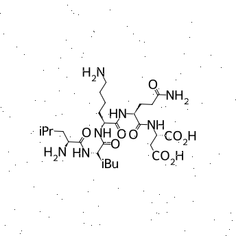 CC[C@H](C)[C@H](NC(=O)[C@@H](N)CC(C)C)C(=O)N[C@@H](CCCCN)C(=O)N[C@@H](CCC(N)=O)C(=O)N[C@@H](CC(=O)O)C(=O)O